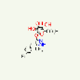 CCc1ccc(Cc2c(O[C@@H]3OC(C(=O)O)[C@@H](O)[C@H](O)[C@H]3O)n[nH]c2C(F)(F)F)cc1